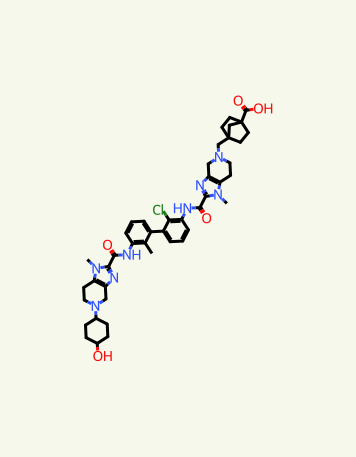 Cc1c(NC(=O)c2nc3c(n2C)CCN(C2CCC(O)CC2)C3)cccc1-c1cccc(NC(=O)c2nc3c(n2C)CCN(CC24CCC(C(=O)O)(CC2)C4)C3)c1Cl